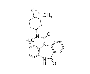 C[C@@H]1C[C@H](N(C)C(=O)N2c3ccccc3NC(=O)c3ccccc32)CCN1C